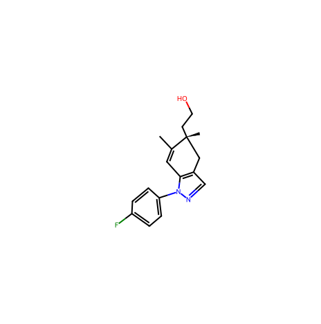 CC1=Cc2c(cnn2-c2ccc(F)cc2)C[C@@]1(C)CCO